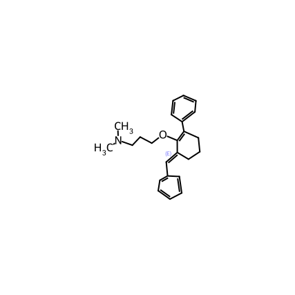 CN(C)CCCOC1=C(c2ccccc2)CCC/C1=C\c1ccccc1